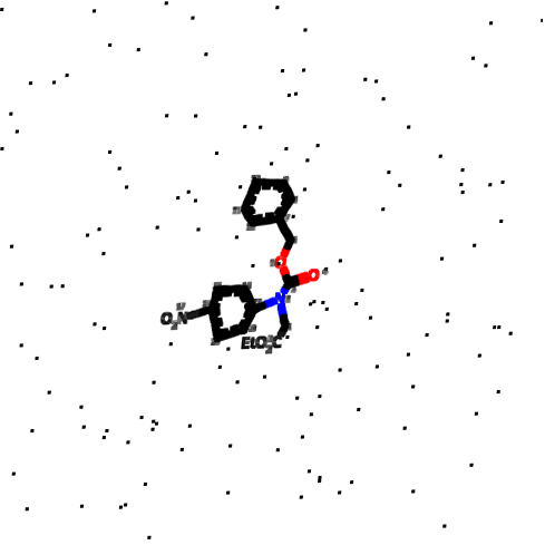 CCOC(=O)CN(C(=O)OCc1ccccc1)c1ccc([N+](=O)[O-])cc1